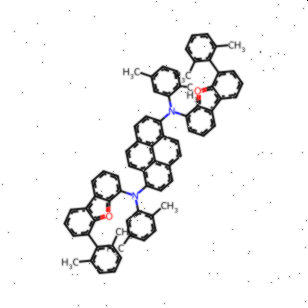 Cc1ccc(C)c(N(c2ccc3ccc4c(N(c5cc(C)ccc5C)c5cccc6c5oc5c(-c7c(C)cccc7C)cccc56)ccc5ccc2c3c54)c2cccc3c2oc2c(-c4c(C)cccc4C)cccc23)c1